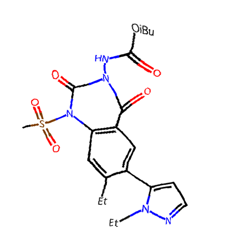 CCc1cc2c(cc1-c1ccnn1CC)c(=O)n(NC(=O)OCC(C)C)c(=O)n2S(C)(=O)=O